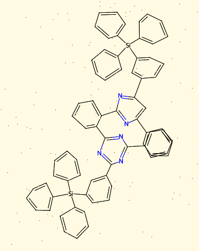 c1ccc(-c2cc(-c3cccc([Si](c4ccccc4)(c4ccccc4)c4ccccc4)c3)nc(-c3ccccc3-c3nc(-c4ccccc4)nc(-c4cccc([Si](c5ccccc5)(c5ccccc5)c5ccccc5)c4)n3)n2)cc1